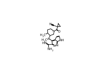 CC1CCN(C(=O)C2(C#N)CC2)CC1N(C)c1c(C(=N)N)nnc2[nH]ccc12